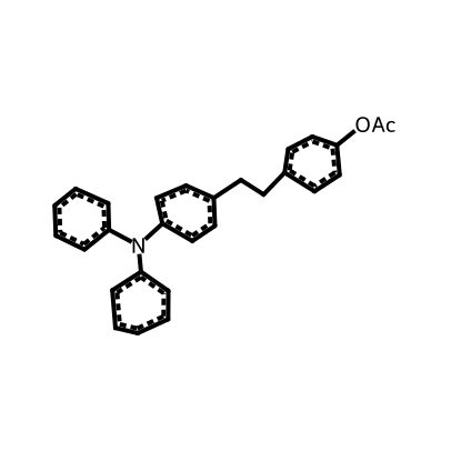 CC(=O)Oc1ccc(CCc2ccc(N(c3ccccc3)c3ccccc3)cc2)cc1